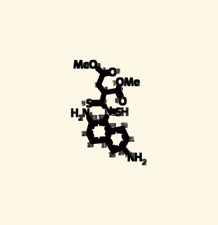 COC(=O)CC(C(=O)OC)C(=S)N(S)c1c(N)ccc2cc(N)ccc12